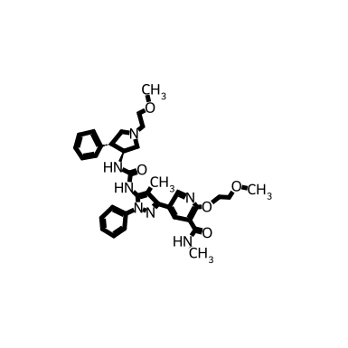 CNC(=O)c1cc(-c2nn(-c3ccccc3)c(NC(=O)N[C@@H]3CN(CCOC)C[C@H]3c3ccccc3)c2C)cnc1OCCOC